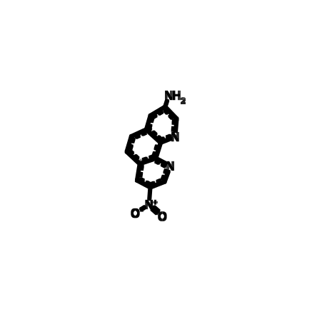 Nc1cnc2c(ccc3cc([N+](=O)[O-])cnc32)c1